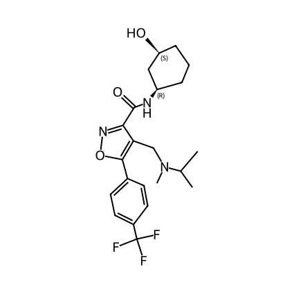 CC(C)N(C)Cc1c(C(=O)N[C@@H]2CCC[C@H](O)C2)noc1-c1ccc(C(F)(F)F)cc1